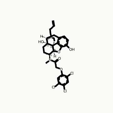 C=CCN1CC[C@]23c4c5ccc(O)c4O[C@H]2[C@@H](N(C)C(=O)COc2cc(Cl)c(Cl)cc2Cl)CC[C@@]3(O)[C@H]1C5